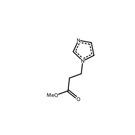 COC(=O)CCn1ccnc1